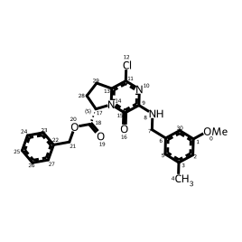 COc1cc(C)cc(CNc2nc(Cl)c3n(c2=O)[C@H](C(=O)OCc2ccccc2)CC3)c1